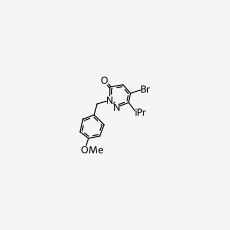 COc1ccc(Cn2nc(C(C)C)c(Br)cc2=O)cc1